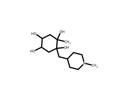 CN1CCC(CC2(O)CC(O)C(O)CC2(C)O)CC1